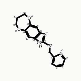 c1ccc(CSc2nc3cc4c(cc3[nH]2)OCCCO4)nc1